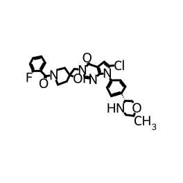 C[C@H]1CN[C@H](c2ccc(-n3c(Cl)cc4c(=O)n(CC5(O)CCN(C(=O)c6ccccc6F)CC5)cnc43)cc2)CO1